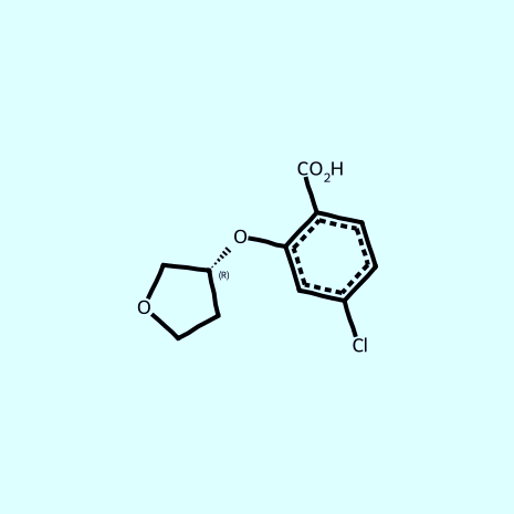 O=C(O)c1ccc(Cl)cc1O[C@@H]1CCOC1